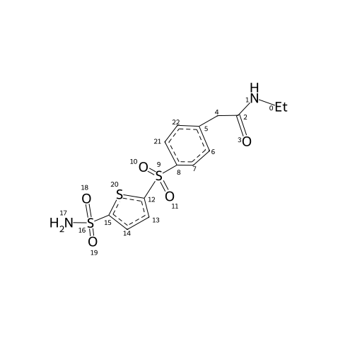 CCNC(=O)Cc1ccc(S(=O)(=O)c2ccc(S(N)(=O)=O)s2)cc1